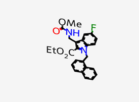 CCOC(=O)c1c(CNC(=O)OC)c2cc(F)ccc2n1Cc1cccc2ccccc12